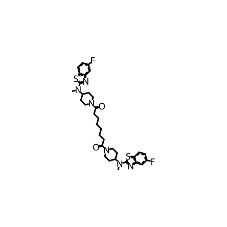 CN(c1nc2cc(F)ccc2s1)C1CCN(C(=O)CCCCCCC(=O)N2CCC(N(C)c3nc4cc(F)ccc4s3)CC2)CC1